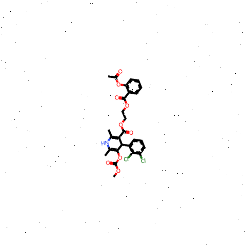 COC(=O)OC1=C(C)NC(C)=C(C(=O)OCCOC(=O)c2ccccc2OC(C)=O)C1c1cccc(Cl)c1Cl